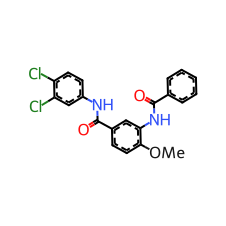 COc1ccc(C(=O)Nc2ccc(Cl)c(Cl)c2)cc1NC(=O)c1ccccc1